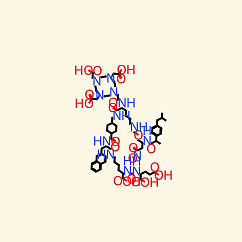 CC(C)Cc1ccc(C(C)C(=O)NC(COCNCCCCC(NC(=O)CN2CCN(CC(=O)O)CCN(CC(=O)O)CCN(CC(=O)O)CC2)C(=O)NCC2CCC(C(=O)NC(Cc3ccc4ccccc4c3)C(=O)NCCCCC(NC(=O)NC(CCC(=O)O)C(=O)O)C(=O)O)CC2)CC(=O)N=O)cc1